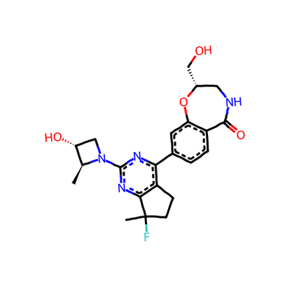 C[C@H]1[C@H](O)CN1c1nc(-c2ccc3c(c2)O[C@H](CO)CNC3=O)c2c(n1)C(C)(F)CC2